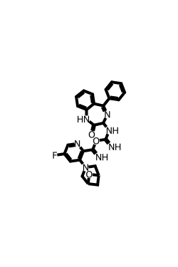 N=C(NC1N=C(c2ccccc2)c2ccccc2NC1=O)OC(=N)c1ncc(F)cc1N1CC2CC(C1)O2